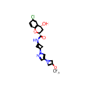 O=C(NC12CC(n3cc(N4CC(OC(F)(F)F)C4)cn3)(C1)C2)[C@H]1C[C@@H](O)c2cc(Cl)ccc2O1